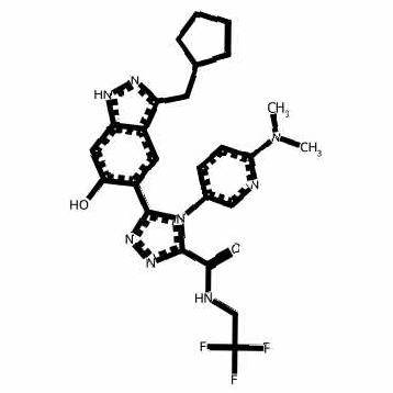 CN(C)c1ccc(-n2c(C(=O)NCC(F)(F)F)nnc2-c2cc3c(CC4CCCC4)n[nH]c3cc2O)cn1